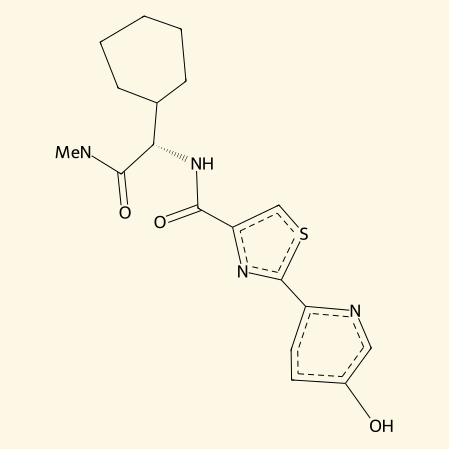 CNC(=O)[C@@H](NC(=O)c1csc(-c2ccc(O)cn2)n1)C1CCCCC1